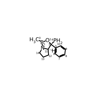 CB1O[C@](P)(c2ccccc2)[C@H]2CCCN12